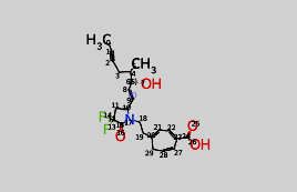 CC#CCC(C)[C@H](O)/C=C/C1CC(F)(F)C(=O)N1CCC1=CC=C(C(=O)O)C=CC1